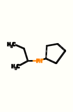 CCC(C)PC1CCCC1